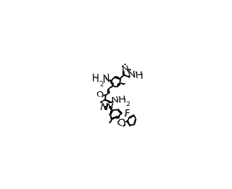 Cc1cc(-n2ncc(C(=O)/C=C/c3cc(C)c(/C(C=N)=C/N(C)C)cc3N)c2N)ccc1Oc1ccccc1F